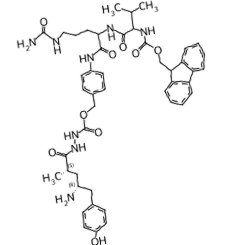 CC(C)C(NC(=O)OCC1c2ccccc2-c2ccccc21)C(=O)NC(CCCNC(N)=O)C(=O)Nc1ccc(COC(=O)NNC(=O)[C@@H](C)C[C@@H](N)Cc2ccc(O)cc2)cc1